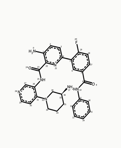 Nc1ccc(-c2cc(C(=O)Nc3ccccc3)ccc2F)nc1C(=O)Nc1cnccc1N1CCC[C@H](N)C1